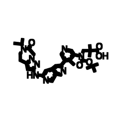 Cc1c(-c2cc3cc(Nc4cc5n(n4)CC(=O)N(C(C)C)CC5)ncc3cn2)cncc1N(CC(C)(C)C(=O)O)C(=O)OC(C)(C)C